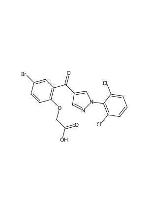 O=C(O)COc1ccc(Br)cc1C(=O)c1cnn(-c2c(Cl)cccc2Cl)c1